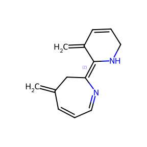 C=C1C=CC=N/C(=C2\NCC=CC2=C)C1